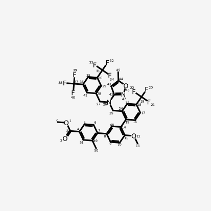 COC(=O)c1ccc(-c2ccc(OC)c(-c3ccc(C(F)(F)F)cc3CN(Cc3cc(C(F)(F)F)cc(C(F)(F)F)c3)c3cc(C)on3)c2)c(C)c1